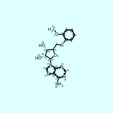 COc1ccccc1SCC1O[C@@H](n2cnc3c(N)ncnc32)[C@H](O)[C@@H]1O